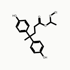 CCOC(C)OC(=O)CCC(C)(c1ccc(O)cc1)c1ccc(O)cc1